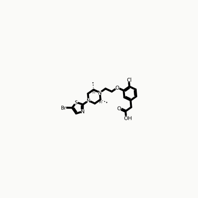 C[C@@H]1CN(c2ncc(Br)s2)C[C@H](C)N1CCOc1cc(CC(=O)O)ccc1Cl